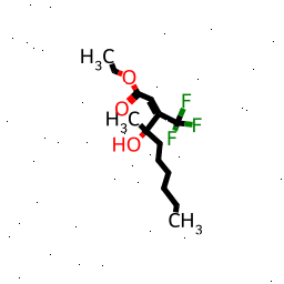 CCCCCCC(C)(O)/C(=C\C(=O)OCC)C(F)(F)F